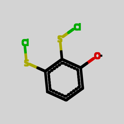 [O]c1cccc(SCl)c1SCl